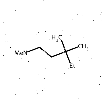 CCC(C)(C)CCNC